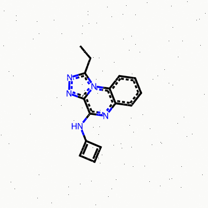 CCc1nnc2c(NC3=CC=C3)nc3ccccc3n12